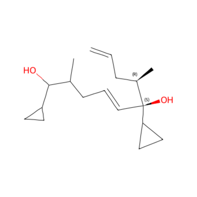 C=CC[C@@H](C)[C@@](O)(C=CCC(C)C(O)C1CC1)C1CC1